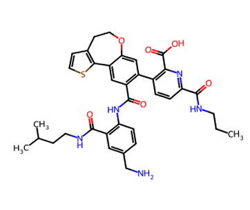 CCCNC(=O)c1ccc(-c2cc3c(cc2C(=O)Nc2ccc(CN)cc2C(=O)NCCC(C)C)-c2sccc2CCO3)c(C(=O)O)n1